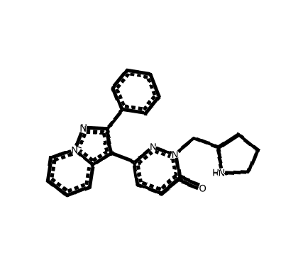 O=c1ccc(-c2c(-c3ccccc3)nn3ccccc23)nn1CC1CCCN1